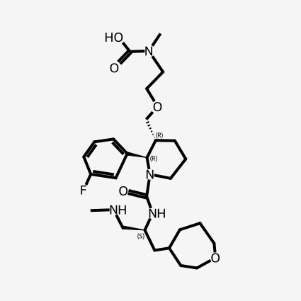 CNC[C@H](CC1CCCOCC1)NC(=O)N1CCC[C@@H](COCCN(C)C(=O)O)[C@@H]1c1cccc(F)c1